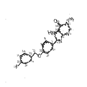 CCCn1cnc2nc(-c3ccc(OCc4ccc(F)cc4)cc3)[nH]c2c1=O